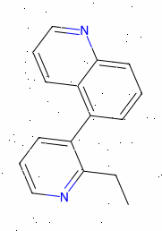 CCc1ncccc1-c1cccc2ncccc12